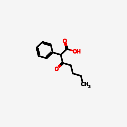 CCCCC(=O)C(C(=O)O)c1ccccc1